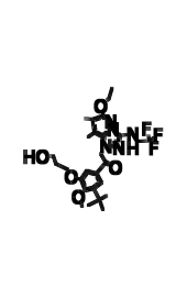 CCOc1nn2c(NCC(F)(F)F)n[n+](CC(=O)c3cc(OCCCO)c(OC)c(C(C)(C)C)c3)c2c(C)c1C